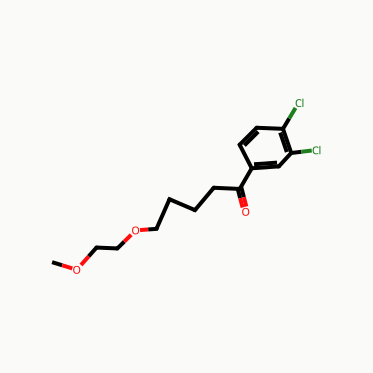 COCCOCCCCC(=O)c1ccc(Cl)c(Cl)c1